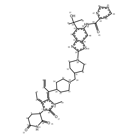 C=C/C(=c1\c(=C/C)n(C2CCC(=O)NC2=O)c(=O)n1C)C1CCN(CC2CCN(c3nc4cc(C(C)(C)O)c(NC(=O)c5ccncn5)cc4s3)CC2)CC1